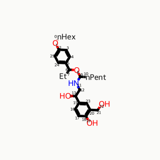 CCCCCCOc1ccc(C(CC)OC(CCCCC)NCC(O)c2ccc(O)c(CO)c2)cc1